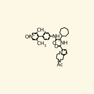 CC(=O)N1CCn2c(ccc2C(=O)N[C@H](C(=O)Nc2ccc(-c3c(C)c[n+]([O-])cc3C)cc2)C2CCCCCC2)C1